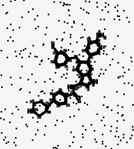 Nc1ncc(-c2cc3[nH]nc(NC(=O)c4ccc(N5CCNCC5)cc4)c3cc2Cc2cccc(F)c2)cn1